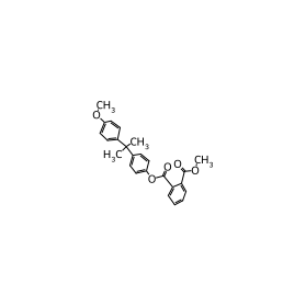 COC(=O)c1ccccc1C(=O)Oc1ccc(C(C)(C)c2ccc(OC)cc2)cc1